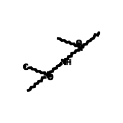 CCCCCCCCCCN(CCCCCCCCNCCCCCCCC(=O)N(CCCCCCCCCC)CCCCCCCCCC)C(=O)CCCCCCCCC